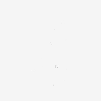 COCC(C)n1c(C)cc(C(=O)c2ccccn2)c1C